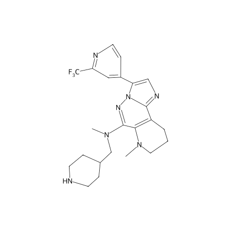 CN(CC1CCNCC1)c1nn2c(-c3ccnc(C(F)(F)F)c3)cnc2c2c1N(C)CCC2